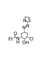 CCC(=O)Nc1cc(/N=N/c2nccs2)cc(Cl)c1O